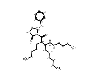 CCCCC[C@@H](C(=O)N1C(=O)OC[C@@H]1Cc1ccccc1)C(COCCCC)NOCCCC